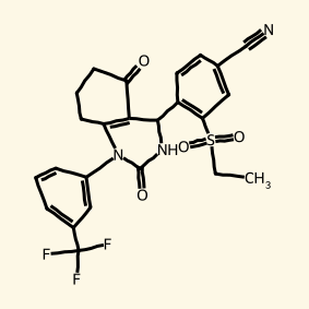 CCS(=O)(=O)c1cc(C#N)ccc1C1NC(=O)N(c2cccc(C(F)(F)F)c2)C2=C1C(=O)CCC2